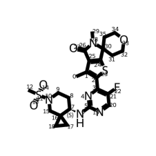 Cc1c(-c2nc(N[C@H]3CCN(S(C)(=O)=O)CC34CC4)ncc2F)sc2c1C(=O)N(C)C21CCOCC1